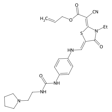 C=CCOC(=O)C(C#N)=c1sc(=CNc2ccc(NC(=O)NCCN3CCCC3)cc2)c(=O)n1CC